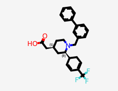 O=C(O)C[C@H]1CCN(Cc2cccc(-c3ccccc3)c2)[C@@H](C2C=CC(C(F)(F)F)=CC2)C1